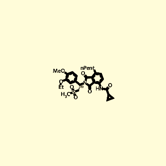 CCCCCc1ccc(NC(=O)C2CC2)c2c1C(=O)N([C@H](CS(C)(=O)=O)c1ccc(OC)c(OCC)c1)C2=O